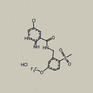 CS(=O)(=O)c1ccc(OC(F)(F)F)cc1CNC(=O)c1cc(Cl)c[nH]c1=N.Cl